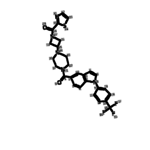 O=C(c1ccc2c(ccn2-c2ccc(C(F)(F)F)cc2)c1)N1CCN(C2CN(C(=O)c3nccs3)C2)CC1